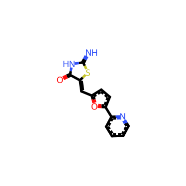 N=C1NC(=O)/C(=C/c2ccc(-c3ccccn3)o2)S1